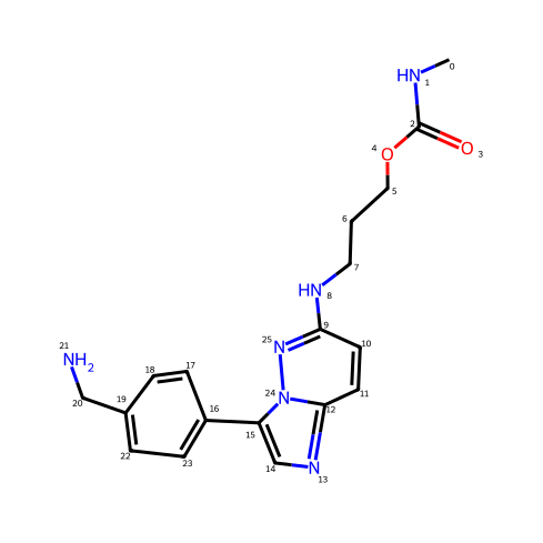 CNC(=O)OCCCNc1ccc2ncc(-c3ccc(CN)cc3)n2n1